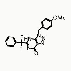 COc1ccc(Cn2nnc3c(=O)nc(C(F)(F)c4ccccc4)[nH]c32)cc1